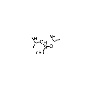 CCCC[SiH](O[SiH](C)C)O[SiH](C)C